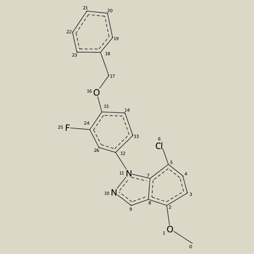 COc1ccc(Cl)c2c1cnn2-c1ccc(OCc2ccccc2)c(F)c1